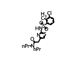 CCCN(CCC)C(=O)Cc1csc(NS(=O)(=O)c2cccc(Cl)c2C)n1